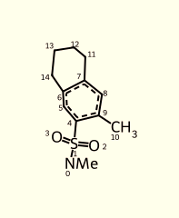 CNS(=O)(=O)c1cc2c(cc1C)CCCC2